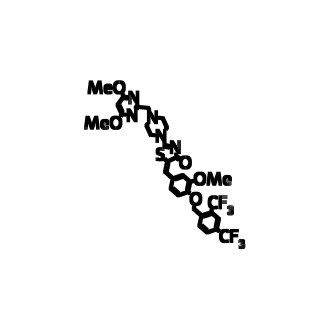 COc1cc(OC)nc(CN2CCN(C3=NC(=O)/C(=C\c4ccc(OCc5ccc(C(F)(F)F)cc5C(F)(F)F)c(OC)c4)S3)CC2)n1